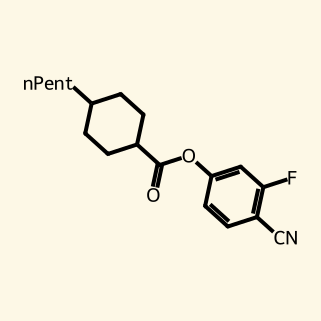 CCCCCC1CCC(C(=O)Oc2ccc(C#N)c(F)c2)CC1